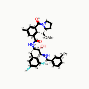 COC[C@H]1CCCN1C(=O)c1cc(C)cc(C(=O)N[C@@H](Cc2cc(F)cc(F)c2)[C@H](O)CNCc2cccc(C(C)C)c2)c1